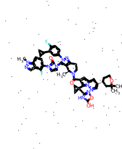 C[C@H]1c2c(nn(-c3ccc(F)c(C4CC4)c3)c2-n2ccn(-c3ccc4c(cnn4C)c3F)c2=O)CCN1C(=O)c1cc2cc([C@@H]3CCOC(C)(C)C3)cnn2c1C1(C2=NOC(O)N2)CC1